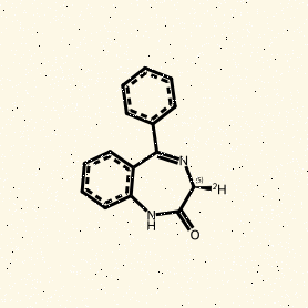 [2H][C@@H]1N=C(c2ccccc2)c2ccccc2NC1=O